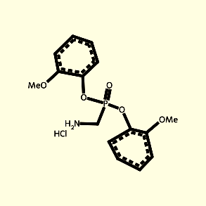 COc1ccccc1OP(=O)(CN)Oc1ccccc1OC.Cl